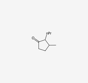 CCCC1C(=O)CCC1C